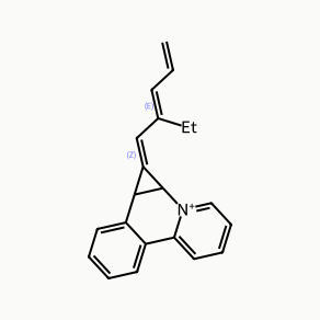 C=C/C=C(/C=C1/C2c3ccccc3-c3cccc[n+]3C12)CC